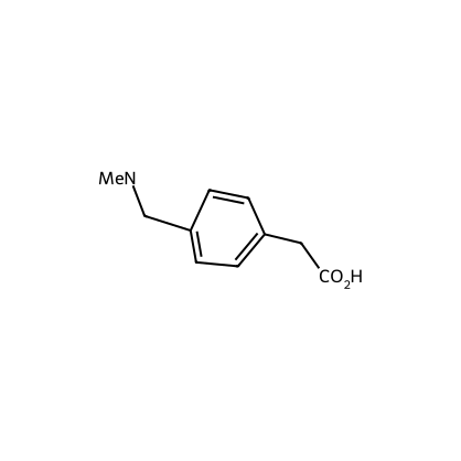 CNCc1ccc(CC(=O)O)cc1